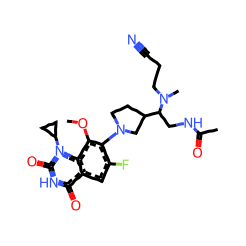 COc1c(N2CCC(C(CNC(C)=O)N(C)CCC#N)C2)c(F)cc2c(=O)[nH]c(=O)n(C3CC3)c12